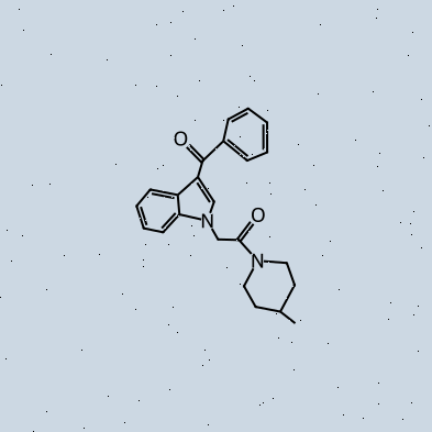 CC1CCN(C(=O)Cn2cc(C(=O)c3ccccc3)c3ccccc32)CC1